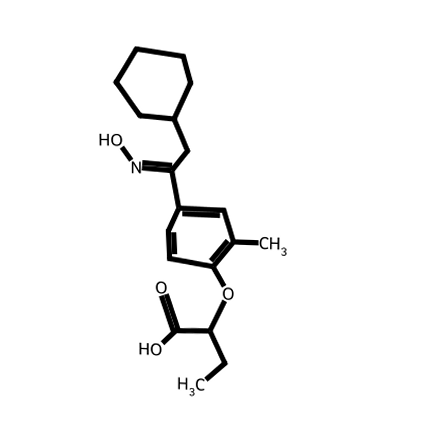 CCC(Oc1ccc(C(CC2CCCCC2)=NO)cc1C)C(=O)O